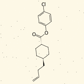 C=CCC[C@H]1CC[C@H](C(=O)Oc2ccc(Cl)cc2)CC1